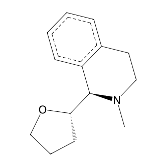 CN1CCc2ccccc2[C@@H]1[C@@H]1CCCO1